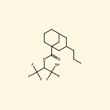 CCCC1CC2CCCC(C(=O)OC(C(F)(F)F)C(F)(F)S)(C1)C2